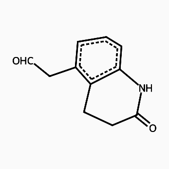 O=CCc1cccc2c1CCC(=O)N2